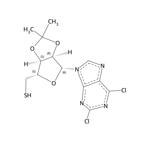 CC1(C)O[C@@H]2[C@H](O1)[C@@H](CS)O[C@H]2n1cnc2c(Cl)nc(Cl)nc21